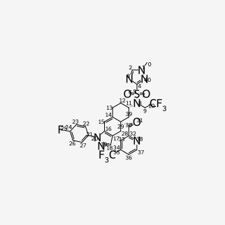 Cn1cnc(S(=O)(=O)N(CC(F)(F)F)[C@H]2CCC3=Cc4c(cnn4-c4ccc(F)cc4)C[C@]3(C(=O)c3cc(C(F)(F)F)ccn3)C2)n1